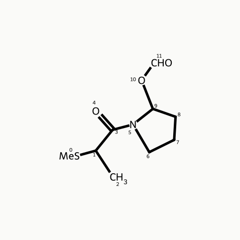 CSC(C)C(=O)N1CCCC1OC=O